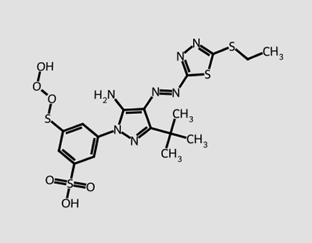 CCSc1nnc(N=Nc2c(C(C)(C)C)nn(-c3cc(SOOO)cc(S(=O)(=O)O)c3)c2N)s1